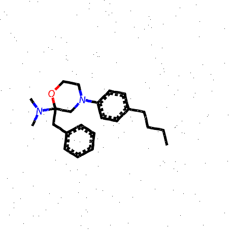 CCCCc1ccc(N2CCOC(Cc3ccccc3)(N(C)C)C2)cc1